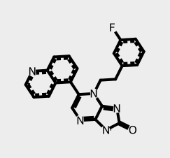 O=C1[N]C2=NC=C(c3cccc4ncccc34)N(CCc3cccc(F)c3)C2=N1